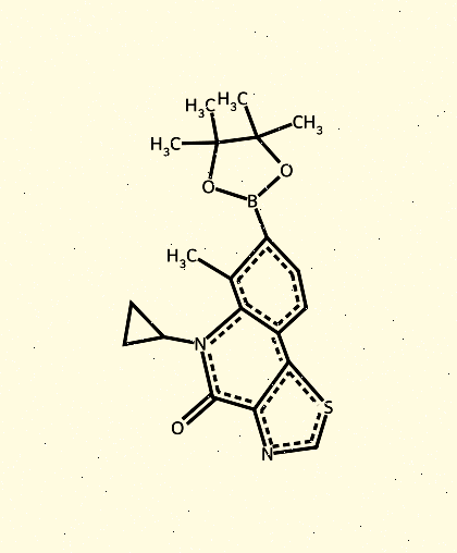 Cc1c(B2OC(C)(C)C(C)(C)O2)ccc2c3scnc3c(=O)n(C3CC3)c12